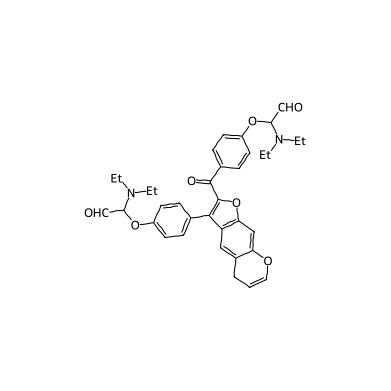 CCN(CC)C(C=O)Oc1ccc(C(=O)c2oc3cc4c(cc3c2-c2ccc(OC(C=O)N(CC)CC)cc2)CC=CO4)cc1